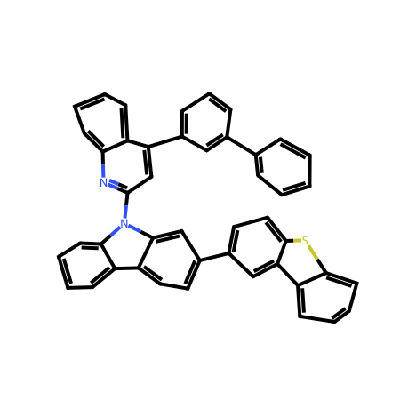 c1ccc(-c2cccc(-c3cc(-n4c5ccccc5c5ccc(-c6ccc7sc8ccccc8c7c6)cc54)nc4ccccc34)c2)cc1